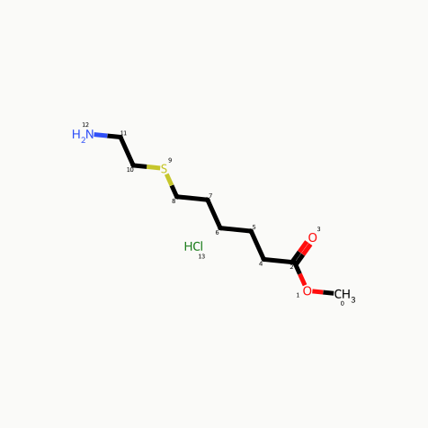 COC(=O)CCCCCSCCN.Cl